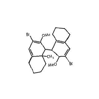 COC1=C(Br)C=C2CCCCC2(C)C1C1C2=C(C=C(Br)C1OC)CCCC2